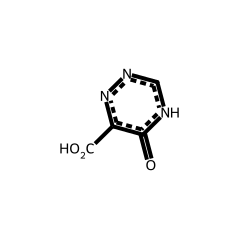 O=C(O)c1nnc[nH]c1=O